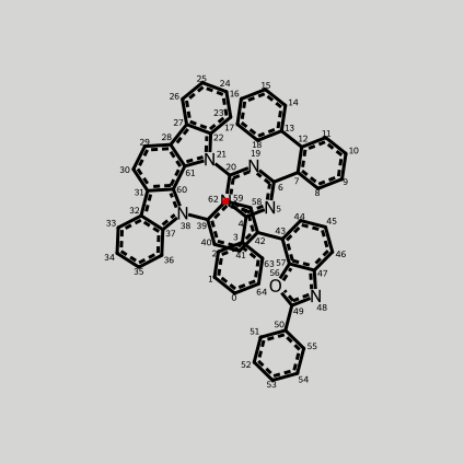 c1ccc(-c2nc(-c3ccccc3-c3ccccc3)nc(-n3c4ccccc4c4ccc5c6ccccc6n(-c6ccc(-c7cccc8nc(-c9ccccc9)oc78)cc6)c5c43)n2)cc1